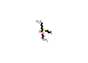 CCCCCC(SCCCCF)C(=O)OCCCC